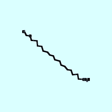 O=C(O)CCCCCCCCCCCCCCCCCOCCl